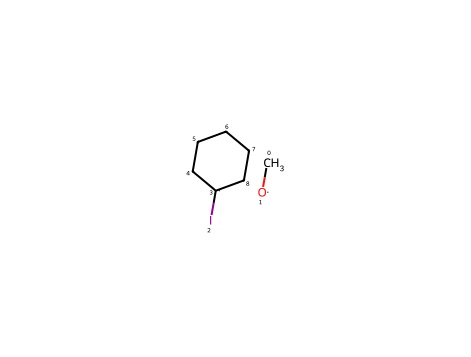 C[O].I[C]1CCCCC1